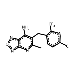 Cc1nc2nonc2c(N)c1Cc1ccc(Cl)nc1C(F)(F)F